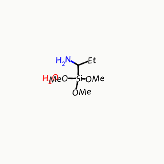 CCC(N)[Si](OC)(OC)OC.O